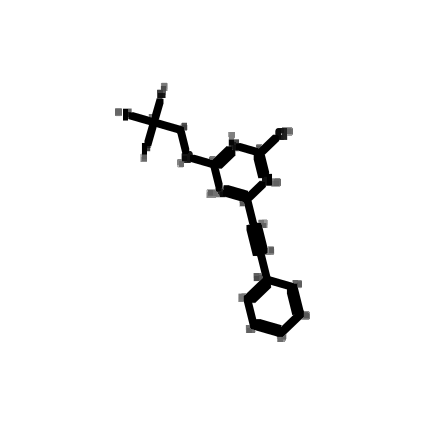 FC(F)(F)COc1nc(Cl)nc(C#Cc2ccccc2)n1